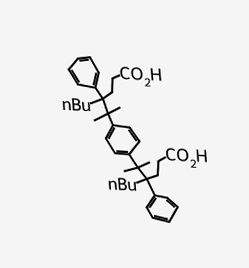 CCCCC(CCC(=O)O)(c1ccccc1)C(C)(C)c1ccc(C(C)(C)C(CCCC)(CCC(=O)O)c2ccccc2)cc1